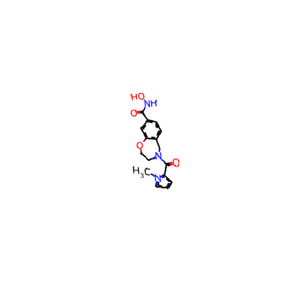 Cn1cccc1C(=O)N1CCOc2cc(C(=O)NO)ccc2C1